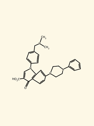 CN(C)Cc1ccc(-n2cc(C(=O)O)c(=O)c3ccc(N4CCN(c5ccccc5)CC4)cc32)cc1